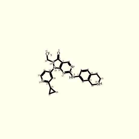 O=c1c2cnc(Nc3ccc4c(c3)CNCC4)nc2n(-c2ccnc(C3CC3)c2)n1CC(F)(F)F